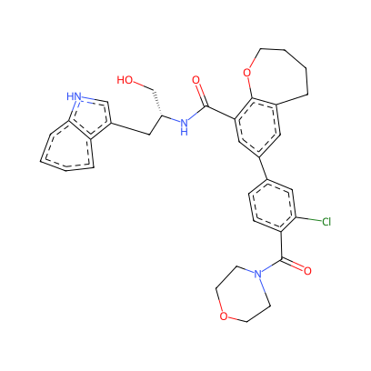 O=C(N[C@@H](CO)Cc1c[nH]c2ccccc12)c1cc(-c2ccc(C(=O)N3CCOCC3)c(Cl)c2)cc2c1OCCCC2